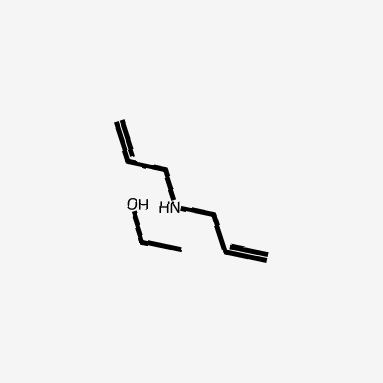 C=CCNCC=C.CCO